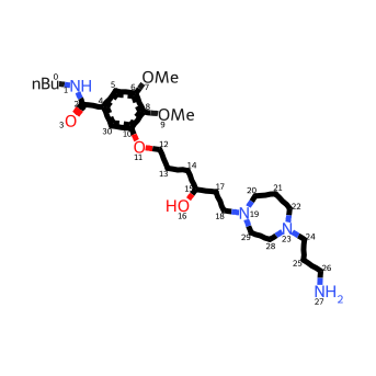 CCCCNC(=O)c1cc(OC)c(OC)c(OCCCC(O)CCN2CCCN(CCCN)CC2)c1